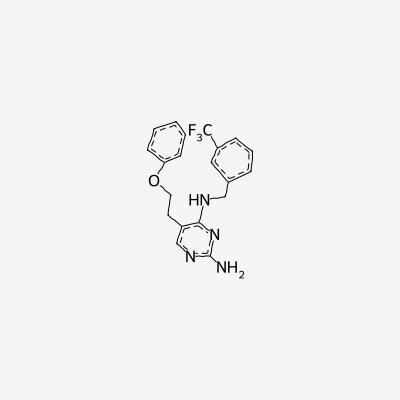 Nc1ncc(CCOc2ccccc2)c(NCc2cccc(C(F)(F)F)c2)n1